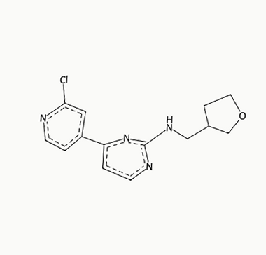 Clc1cc(-c2ccnc(NCC3CCOC3)n2)ccn1